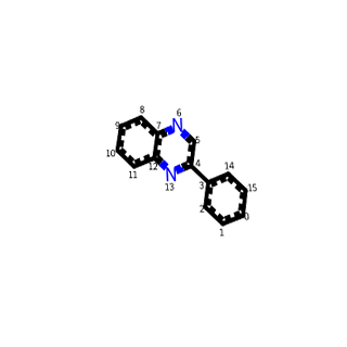 c1ccc(-c2cnc3ccccc3n2)cc1